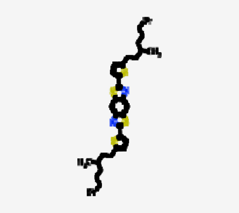 CC(C)CCCC(C)CCc1ccc(-c2nc3cc4sc(-c5ccc(CCC(C)CCCC(C)C)s5)nc4cc3s2)s1